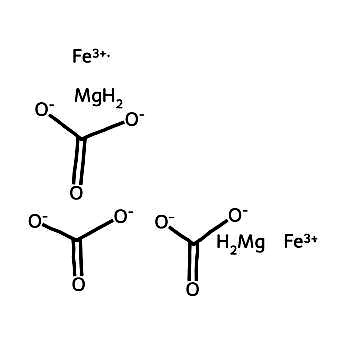 O=C([O-])[O-].O=C([O-])[O-].O=C([O-])[O-].[Fe+3].[Fe+3].[MgH2].[MgH2]